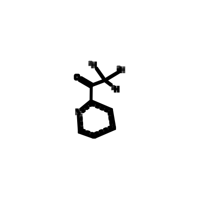 [2H]C([2H])([2H])C(=O)c1ccccn1